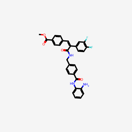 COC(=O)c1ccc(C=C(C(=O)NCc2ccc(C(=O)Nc3ccccc3N)cc2)c2ccc(F)c(F)c2)cc1